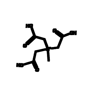 C[N+](CC(=O)O)(CC(=O)O)CC(=O)O